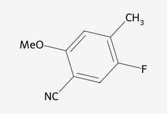 COc1cc(C)c(F)cc1C#N